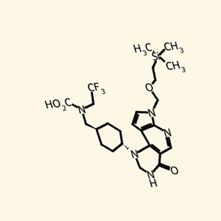 C[Si](C)(C)CCOCn1ccc2c3c(cnc21)C(=O)NCN3[C@H]1CC[C@H](CN(CC(F)(F)F)C(=O)O)CC1